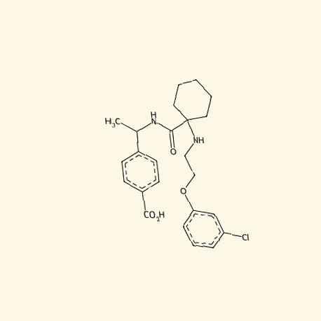 CC(NC(=O)C1(NCCOc2cccc(Cl)c2)CCCCC1)c1ccc(C(=O)O)cc1